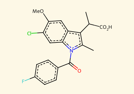 COc1cc2c(C(C)C(=O)O)c(C)n(C(=O)c3ccc(F)cc3)c2cc1Cl